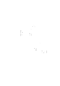 O=C(C1Cc2ccccc2N1)N1CCc2nc(NCC3CCC3)sc2C1